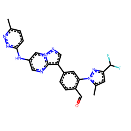 Cc1ccc(Nc2cnc3c(-c4ccc(C=O)c(-n5nc(C(F)F)cc5C)c4)cnn3c2)nn1